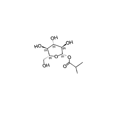 CC(C)C(=O)O[C@@H]1O[C@H](CO)[C@@H](O)[C@H](O)[C@H]1O